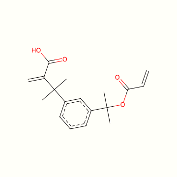 C=CC(=O)OC(C)(C)c1cccc(C(C)(C)C(=C)C(=O)O)c1